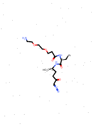 CC(C)C[C@H](NC(=O)CCOCCOCCN)C(=O)N[C@@H](CCC(=O)C=[N+]=[N-])C(=O)O